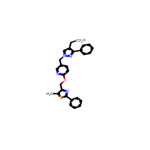 Cc1sc(-c2ccccc2)nc1COc1ccc(Cn2cc(CC(=O)O)c(-c3ccccc3)n2)cn1